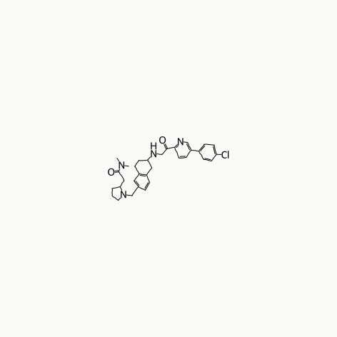 CN(C)C(=O)CC1CCCN1Cc1ccc2c(c1)CCC(NCC(=O)c1ccc(-c3ccc(Cl)cc3)cn1)C2